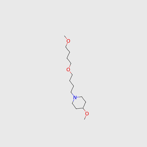 COCCCCOCCCCN1CCC(OC)CC1